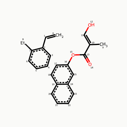 C=Cc1ccccc1CC.CC(=CO)C(=O)Oc1ccc2ccccc2c1